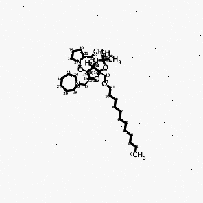 CCCCCCCCCCCCOC[C@@]12O[C@@H](CN3CCCCCC3)[C@@H](ON3CCCC3CC)[C@@H]1OC(C)(C)O2